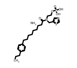 CCCc1ccc(CCCCCCCCC(=O)N(CCOP(=O)(O)O)Cc2cncs2)cc1.N